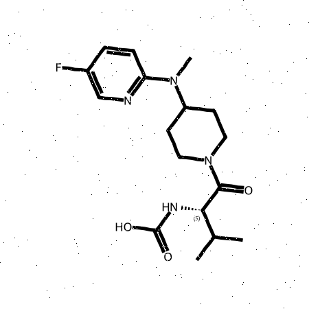 CC(C)[C@H](NC(=O)O)C(=O)N1CCC(N(C)c2ccc(F)cn2)CC1